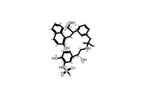 CC(C)(Cc1cccc(C(Cc2c(O)ccc3ccccc23)C(N)=O)c1)NC[C@H](O)c1ccc(O)c(NS(C)(=O)=O)c1